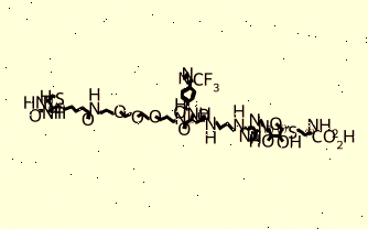 N[C@@H](CCSC[C@H]1O[C@@H](n2cnc3c(NCCCCNC(=O)C[C@H](NC(=O)c4ccc(C5(C(F)(F)F)N=N5)cc4)C(=O)NCCCOCCOCCOCCCNC(=O)CCCC[C@@H]4SC[C@@H]5NC(=O)N[C@@H]54)ncnc32)C(O)C1O)C(=O)O